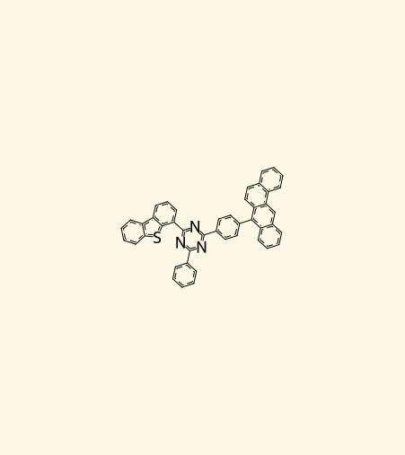 c1ccc(-c2nc(-c3ccc(-c4c5ccccc5cc5c4ccc4ccccc45)cc3)nc(-c3cccc4c3sc3ccccc34)n2)cc1